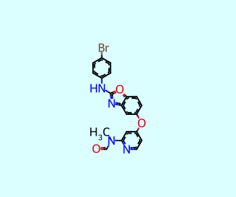 CN(C=O)c1cc(Oc2ccc3oc(Nc4ccc(Br)cc4)nc3c2)ccn1